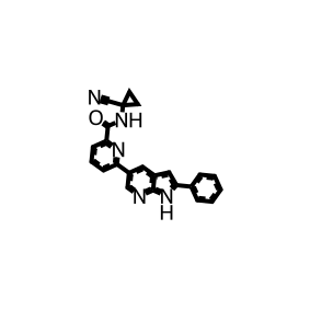 N#CC1(NC(=O)c2cccc(-c3cnc4[nH]c(-c5ccccc5)cc4c3)n2)CC1